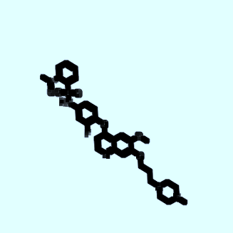 COc1cc2c(Oc3ccc(NS(=O)(=O)c4ccccc4[N+](C)=O)cc3F)ccnc2cc1OCCCN1CCN(C)CC1